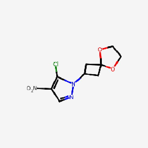 O=[N+]([O-])c1cnn(C2CC3(C2)OCCO3)c1Cl